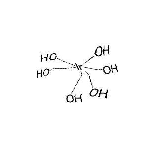 [OH][Ir]([OH])([OH])([OH])([OH])[OH]